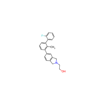 Cc1c(-c2ccc3c(c2)CN(CCO)C3)cccc1-c1ccccc1F